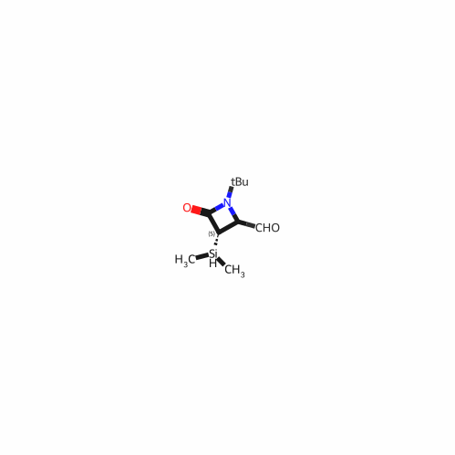 C[SiH](C)[C@@H]1C(=O)N(C(C)(C)C)C1C=O